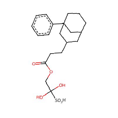 O=C(CCC1CC2CCCC(c3ccccc3)(C2)C1)OCC(O)(O)S(=O)(=O)O